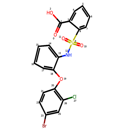 O=C(O)c1ccccc1S(=O)(=O)Nc1ccccc1Oc1ccc(Br)cc1Cl